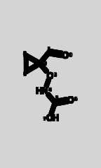 O=CC1(ONC(=O)O)CC1